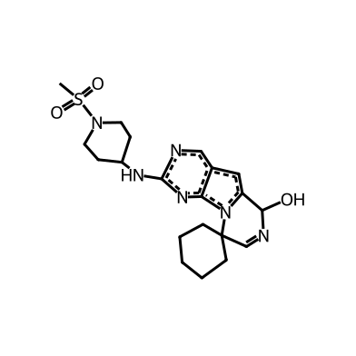 CS(=O)(=O)N1CCC(Nc2ncc3cc4n(c3n2)C2(C=NC4O)CCCCC2)CC1